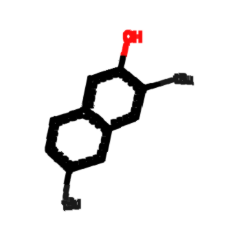 CC(C)(C)c1ccc2cc(O)c(C(C)(C)C)cc2c1